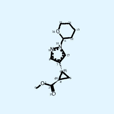 COC(=O)[C@@H]1C[C@H]1c1cnn(C2CCCCO2)c1